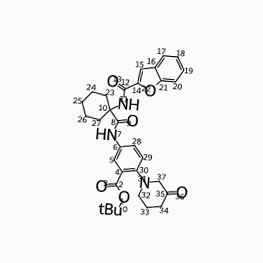 CC(C)(C)OC(=O)c1cc(NC(=O)C2(NC(=O)c3cc4ccccc4o3)CCCCC2)ccc1N1CCCC(=O)C1